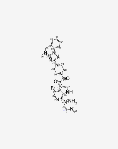 C=N/C=C\N(N)c1ncc(F)c2c(C(=O)C(=O)N3CCN(c4nc(N(C)C)n(-c5ccccc5)n4)CC3)c[nH]c12